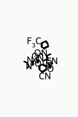 CC1=C(C#N)[C@@H](c2ccc(C#N)cc2S(C)(=O)=O)N(S(=O)(=O)c2cn(C)c(C)n2)C(=O)N1c1cccc(C(F)(F)F)c1